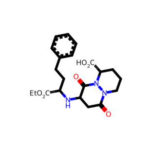 CCOC(=O)C(CCc1ccccc1)NC1CC(=O)N2CCCC(C(=O)O)N2C1=O